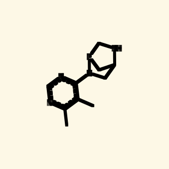 Cc1ncnc(N2CC3CP2CN3)c1C